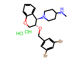 CNC1CCN([C@@H]2c3ccccc3OC[C@H]2OCc2cc(Br)cc(Br)c2)CC1.Cl.Cl